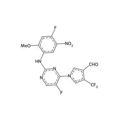 COc1cc(F)c([N+](=O)[O-])cc1Nc1ncc(F)c(-n2cc(C=O)c(C(F)(F)F)c2)n1